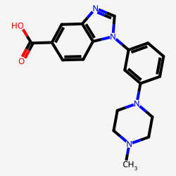 CN1CCN(c2cccc(-n3cnc4cc(C(=O)O)ccc43)c2)CC1